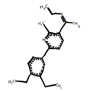 CC/N=C(/C)c1ccc(-c2ccc(CC)c(CC)c2)nc1C